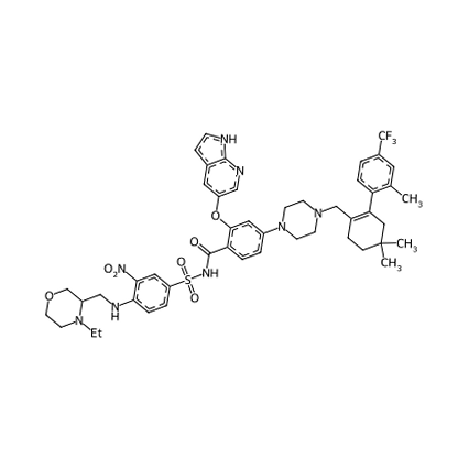 CCN1CCOCC1CNc1ccc(S(=O)(=O)NC(=O)c2ccc(N3CCN(CC4=C(c5ccc(C(F)(F)F)cc5C)CC(C)(C)CC4)CC3)cc2Oc2cnc3[nH]ccc3c2)cc1[N+](=O)[O-]